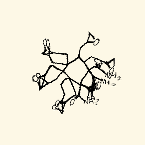 NC(=O)C1(C(N)=O)C(CC2CO2)C(CC2CO2)C(CC2CO2)(CC2CO2)C(CC2CO2)(CC2CO2)C(CC2CO2)(CC2CO2)C1(C(N)=O)C(N)=O